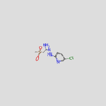 CS(=O)(=O)C/C(N)=N\Nc1ccc(Cl)cn1